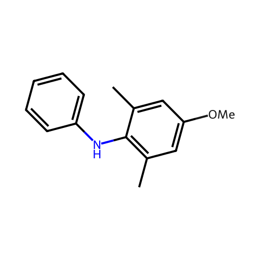 COc1cc(C)c(Nc2ccccc2)c(C)c1